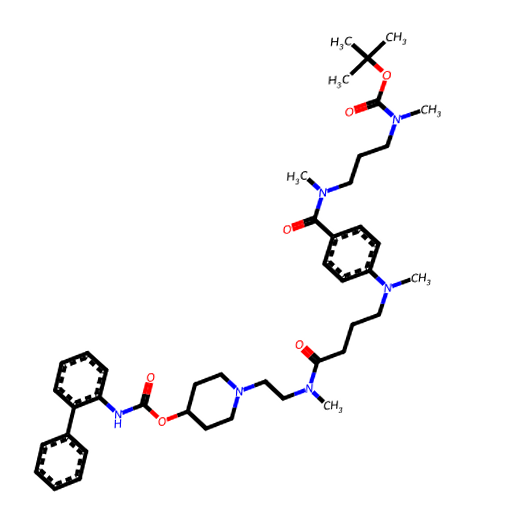 CN(CCN1CCC(OC(=O)Nc2ccccc2-c2ccccc2)CC1)C(=O)CCCN(C)c1ccc(C(=O)N(C)CCCN(C)C(=O)OC(C)(C)C)cc1